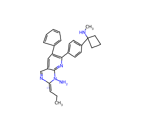 CC/C=C1/N=Cc2cc(-c3ccccc3)c(-c3ccc(C4(NC)CCC4)cc3)nc2N1N